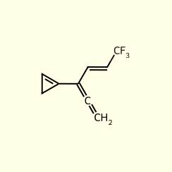 C=C=C(C=CC(F)(F)F)C1=CC1